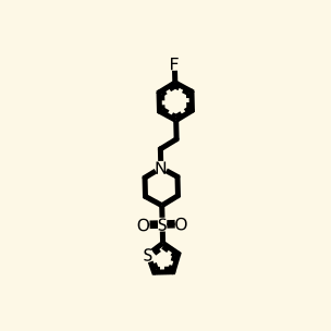 O=S(=O)(c1cccs1)C1CCN(CCc2ccc(F)cc2)CC1